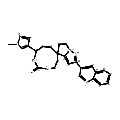 Cn1cc(C2CCC3(CCNC(=O)N2)CCn2nc(-c4cnc5ccccc5c4)cc23)cn1